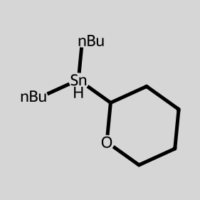 CCC[CH2][SnH]([CH2]CCC)[CH]1CCCCO1